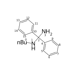 CCCCNC(N)(c1ccccc1)c1ccccc1